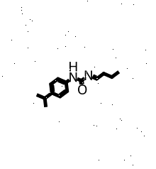 CCCC=NC(=O)Nc1ccc(C(C)C)cc1